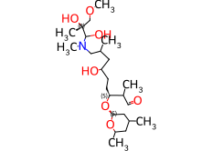 COC[C@@](C)(O)C(O)N(C)CC(C)CC(O)CC[C@H](O[C@H]1CC(C)CC(C)O1)C(C)C=O